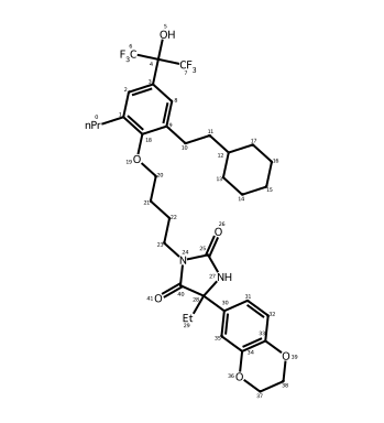 CCCc1cc(C(O)(C(F)(F)F)C(F)(F)F)cc(CCC2CCCCC2)c1OCCCCN1C(=O)NC(CC)(c2ccc3c(c2)OCCO3)C1=O